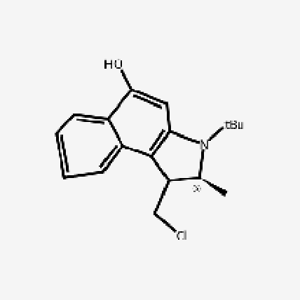 C[C@H]1C(CCl)c2c(cc(O)c3ccccc23)N1C(C)(C)C